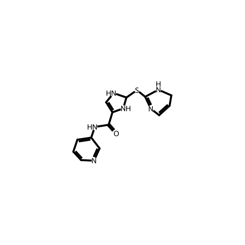 O=C(Nc1cccnc1)C1=CNC(SC2=NC=CCN2)N1